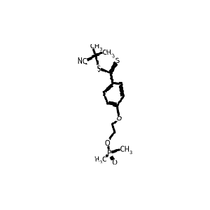 CC(C)(C#N)SC(=S)c1ccc(OCCOP(C)(C)=O)cc1